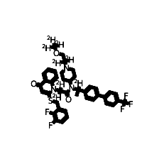 [2H]C([2H])([2H])OCC([2H])([2H])N1CCC(N(C(=O)C([2H])([2H])n2c(SCc3cccc(F)c3F)cc(=O)c3ccccc32)C([2H])(C)c2ccc(-c3ccc(C(F)(F)F)cc3)cc2)CC1